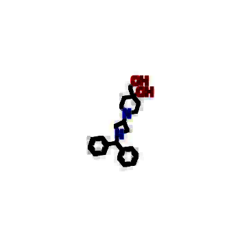 OCC1(O)CCN(C2CN(C(c3ccccc3)c3ccccc3)C2)CC1